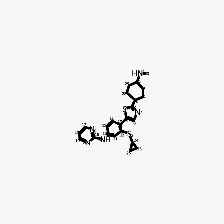 CNC1CCC(c2ncc(-c3ccc(Nc4ncccn4)cc3SC3CC3)s2)CC1